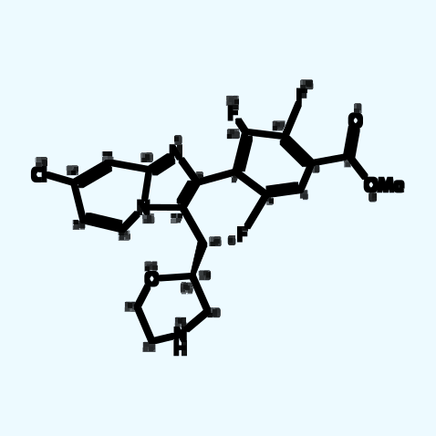 COC(=O)c1cc(F)c(-c2nc3cc(Cl)ccn3c2C[C@H]2CNCCO2)c(F)c1F